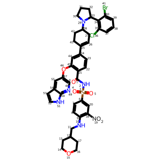 O=C(NS(=O)(=O)c1ccc(NCC2CCOCC2)c([N+](=O)[O-])c1)c1ccc(C2=CCC(N3CCCC3c3c(Cl)cccc3Br)CC2)cc1Oc1cnc2[nH]ccc2c1